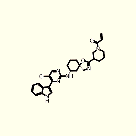 C=CC(=O)N1CCCC(C2=NC[C@]3(CCC[C@@H](Nc4ncc(Cl)c(-c5c[nH]c6ccccc56)n4)C3)O2)C1